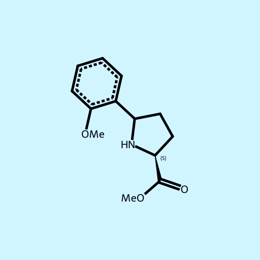 COC(=O)[C@@H]1CCC(c2ccccc2OC)N1